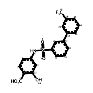 O=C(O)c1ccc(NS(=O)(=O)c2cccc(-c3cccc(C(F)(F)F)c3)c2)cc1O